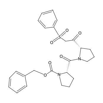 O=C(CS(=O)(=O)c1ccccc1)[C@@H]1CCCN1C(=O)[C@@H]1CCCN1C(=O)OCc1ccccc1